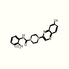 N#Cc1ccc2ncc(N3CCN(C(=O)Nc4ccccc4C(=O)O)CC3)nc2c1